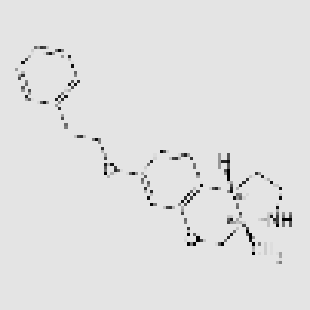 C[C@@]12COc3cc(OCCc4ccccc4)ccc3[C@@H]1CCN2